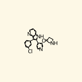 Clc1cccc(-c2c(-c3ccncc3O[C@@H]3CCNC3)[nH]c3cccnc23)c1